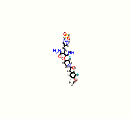 CS(=O)(=O)Cn1cc(/C=C/C(C(N)=O)=C(\C=N)OC2CCN(C(=O)Cc3ccc(OC(F)(F)F)c(F)c3)CC2F)cn1